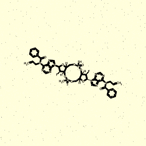 C=CCN(C(=O)c1ccccc1)c1ncnc2c1ncn2C1O[C@@H]2COP(=O)(S)O[C@H]3[C@@H](F)[C@H](n4cnc5c(N(CC=C)C(=O)c6ccccc6)ncnc54)O[C@@H]3COP(C)(=S)O[C@H]2[C@H]1F